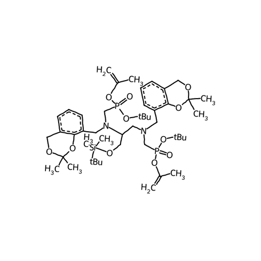 C=C(C)OP(=O)(CN(Cc1cccc2c1OC(C)(C)OC2)CC(CO[Si](C)(C)C(C)(C)C)N(Cc1cccc2c1OC(C)(C)OC2)CP(=O)(OC(=C)C)OC(C)(C)C)OC(C)(C)C